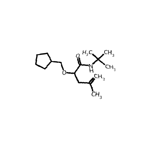 C=C(C)CC(OCC1CCCC1)C(=O)NC(C)(C)C